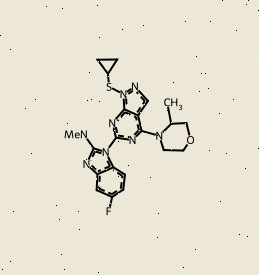 CNc1nc2cc(F)ccc2n1-c1nc(N2CCOCC2C)c2cnn(SC3CC3)c2n1